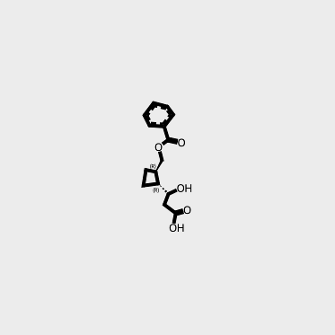 O=C(O)CC(O)[C@@H]1CC[C@H]1COC(=O)c1ccccc1